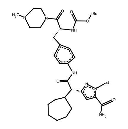 CCn1nc([C@@H](C(=O)Nc2ccc(C[C@@H](NC(=O)OC(C)(C)C)C(=O)N3CCN(C)CC3)cc2)C2CCCCCC2)cc1C(N)=O